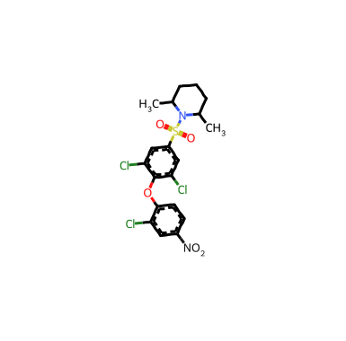 CC1CCCC(C)N1S(=O)(=O)c1cc(Cl)c(Oc2ccc([N+](=O)[O-])cc2Cl)c(Cl)c1